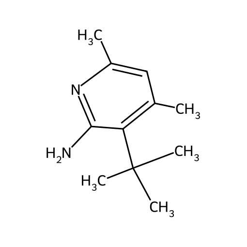 Cc1cc(C)c(C(C)(C)C)c(N)n1